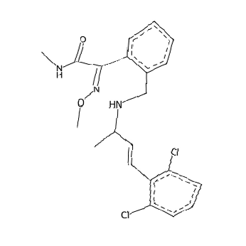 CNC(=O)C(=NOC)c1ccccc1CNC(C)C=Cc1c(Cl)cccc1Cl